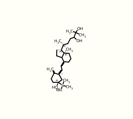 C=C1CC[C@@](O)([Si](C)(C)C(C)(C)C)C/C1=C/C=C1CCC[C@@]2(C)C1CC[C@@H]2[C@H](C)CCC(O)C(C)(C)O